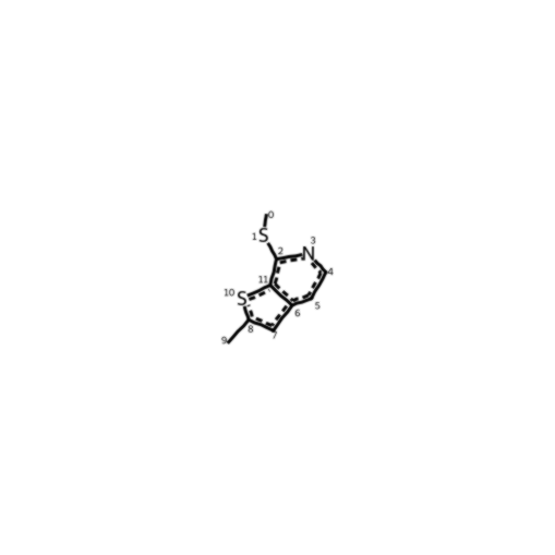 CSc1nccc2cc(C)sc12